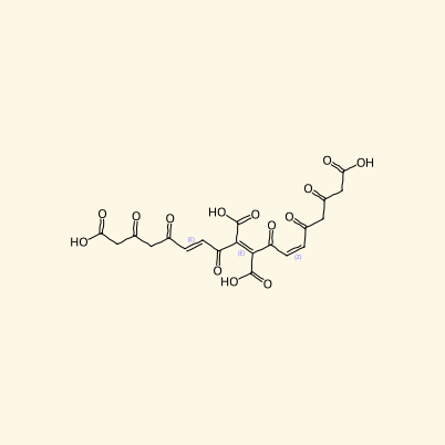 O=C(O)CC(=O)CC(=O)/C=C\C(=O)/C(C(=O)O)=C(\C(=O)O)C(=O)/C=C/C(=O)CC(=O)CC(=O)O